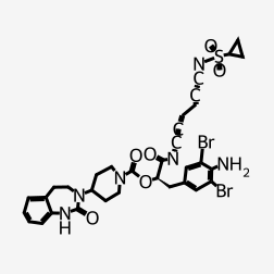 Nc1c(Br)cc(C[C@@H](OC(=O)N2CCC(N3CCc4ccccc4NC3=O)CC2)C(=O)N=C=C=CC=C=C=NS(=O)(=O)C2CC2)cc1Br